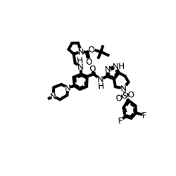 CN1CCN(c2ccc(C(=O)Nc3n[nH]c4c3CN(S(=O)(=O)c3cc(F)cc(F)c3)CC4)c(NCC3CCCN3C(=O)OC(C)(C)C)c2)CC1